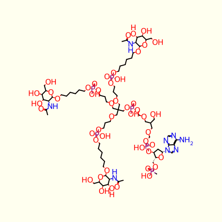 CC(=O)N[C@H]1C(O)[C@@H](O)C(CO)O[C@H]1OCCCCCCOP(=O)(O)OCCCOCC(COCCCOP(=O)(O)OCCCCCCO[C@@H]1OC(CO)[C@H](O)C(O)[C@@H]1NC(C)=O)(COCCCOP(=O)(O)OCCCCCCO[C@@H]1OC(CO)[C@H](O)C(O)[C@@H]1NC(C)=O)COP(=O)(O)OCOCC(CO)COCOP(=O)(O)O[C@H]1C[C@H](n2cnc3c(N)ncnc32)O[C@@H]1COP(C)(=O)O